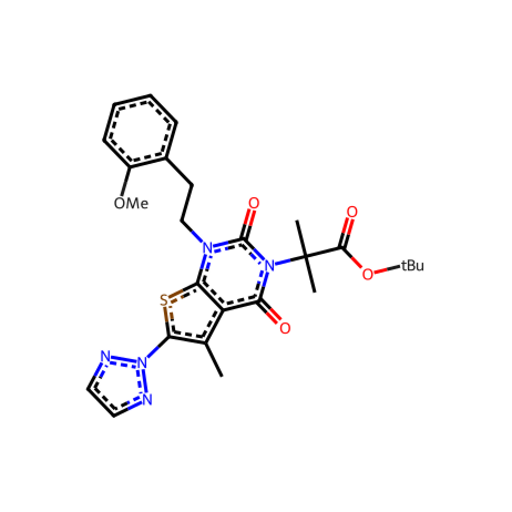 COc1ccccc1CCn1c(=O)n(C(C)(C)C(=O)OC(C)(C)C)c(=O)c2c(C)c(-n3nccn3)sc21